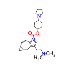 CN(C)CCc1cn(C(=O)OC2CCC(N3CCCC3)CC2)c2c1CC1CC1C=C2